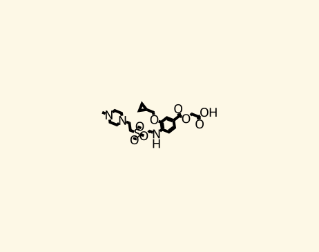 CN1CCN(CCS(=O)(=O)OCNc2ccc(C(=O)OCC(=O)O)cc2OCC2CC2)CC1